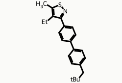 CCc1c(-c2ccc(-c3ccc(CC(C)(C)C)cc3)cc2)nsc1C